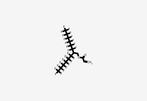 C=CC(=O)OCC(C(F)(F)C(F)(F)C(F)(F)C(F)(F)C(F)(F)C(F)(F)F)C(F)(F)C(F)(F)C(F)(F)C(F)(F)C(F)(F)C(F)(F)F